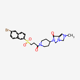 CN1C=C2C(=O)N(C3CCN(C(=O)CCS(=O)(=O)c4ccc5cc(Br)ccc5c4)CC3)CN2C1